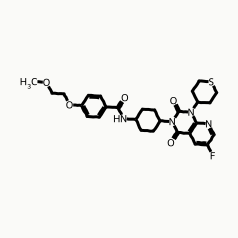 COCCOc1ccc(C(=O)NC2CCC(n3c(=O)c4cc(F)cnc4n(C4CCSCC4)c3=O)CC2)cc1